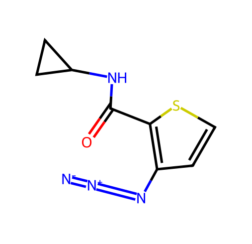 [N-]=[N+]=Nc1ccsc1C(=O)NC1CC1